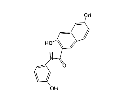 O=C(Nc1cccc(O)c1)c1cc2ccc(O)cc2cc1O